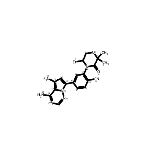 CCC1COC(C)(C)C(=O)N1c1cc(-c2cc(C(F)(F)F)c3c(N)ncnn23)ccc1C#N